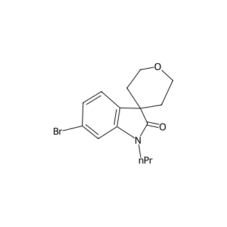 CCCN1C(=O)C2(CCOCC2)c2ccc(Br)cc21